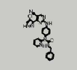 N#Cc1cnc(NC2CCC(N(C(=O)NCc3ccccc3)c3ccccn3)CC2)nc1-c1n[nH]cc1Cl